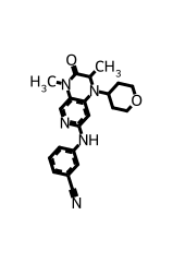 CC1C(=O)N(C)c2cnc(Nc3cccc(C#N)c3)cc2N1C1CCOCC1